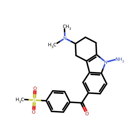 CN(C)C1CCc2c(c3cc(C(=O)c4ccc(S(C)(=O)=O)cc4)ccc3n2N)C1